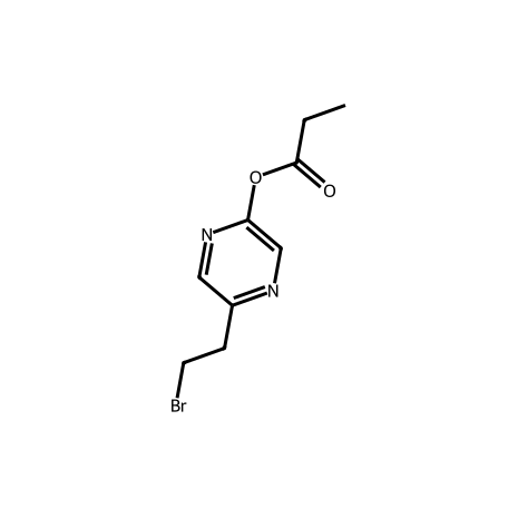 CCC(=O)Oc1cnc(CCBr)cn1